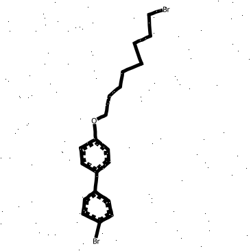 BrCCCCCCCCOc1ccc(-c2ccc(Br)cc2)cc1